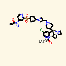 C=CC(=O)Nc1ccnc(S(=O)(=O)c2ccc(N3CC(CN4CCC([C@@](CN5CCC5)(c5cccc(F)c5)[C@H]5CCC[C@@H]5NC(=O)OC)CC4)C3)cc2)c1